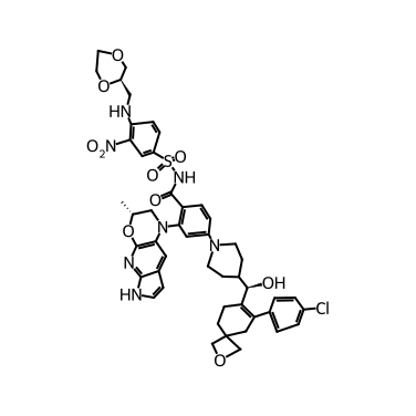 C[C@@H]1CN(c2cc(N3CCC([C@@H](O)C4=C(c5ccc(Cl)cc5)CC5(CC4)COC5)CC3)ccc2C(=O)NS(=O)(=O)c2ccc(NC[C@@H]3COCCO3)c([N+](=O)[O-])c2)c2cc3cc[nH]c3nc2O1